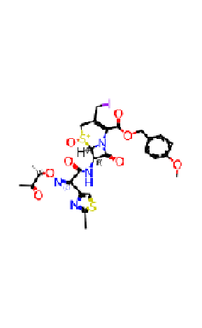 COc1ccc(COC(=O)C2=C(CI)C[S+]([O-])[C@@H]3[C@H](NC(=O)/C(=N\O[C@@H](C)C(C)=O)c4csc(C)n4)C(=O)N23)cc1